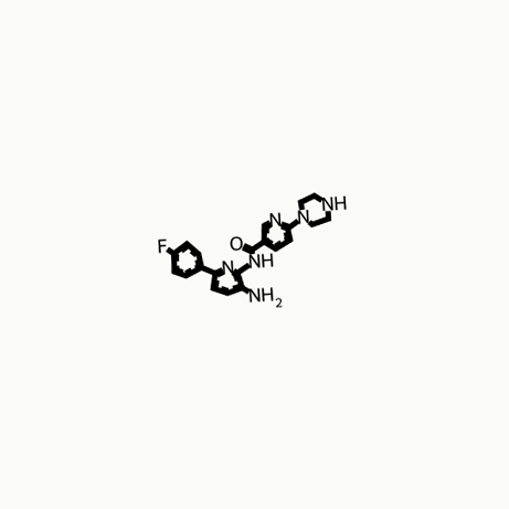 Nc1ccc(-c2ccc(F)cc2)nc1NC(=O)c1ccc(N2CCNCC2)nc1